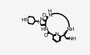 N=C/C1=C\NCCCCCCNC(=O)c2nn(C3CCNCC3)cc2NC(=O)c2cccc1n2